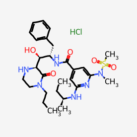 CCCN1CCN[C@@H]([C@@H](O)[C@H](Cc2ccccc2)NC(=O)c2cc(N[C@@H](C)CC)nc(N(C)S(C)(=O)=O)c2)C1=O.Cl